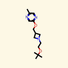 Cc1cnc(OCC2CN(CCOC(C)(C)C)C2)cn1